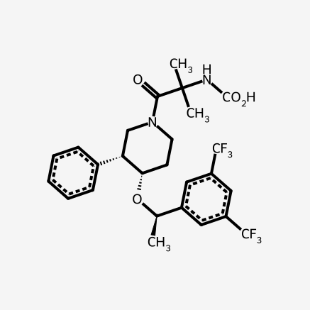 C[C@@H](O[C@H]1CCN(C(=O)C(C)(C)NC(=O)O)C[C@H]1c1ccccc1)c1cc(C(F)(F)F)cc(C(F)(F)F)c1